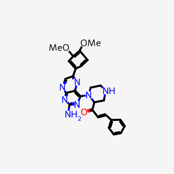 COc1ccc(-c2cnc3nc(N)nc(N4CCNCC4C(=O)C=Cc4ccccc4)c3n2)cc1OC